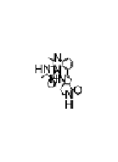 COC(=O)C(C)Nc1nc2c(-c3cc4c([nH]3)CCNC4=O)cccc2nc1C